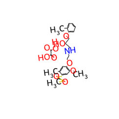 COc1cc(S(C)(=O)=O)c(C)cc1OCCNCC(O)COc1ccccc1C.O=C(O)C(=O)O